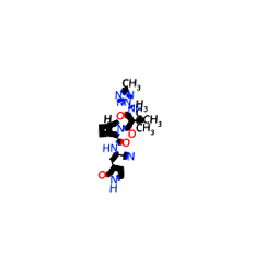 Cc1nnn(NC(=O)[C@H](C(=O)N2C[C@@H]3CCC3[C@H]2C(=O)N[C@H](C#N)C[C@@H]2CCNC2=O)C(C)(C)C)n1